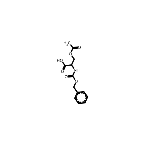 CC(=O)OCC(NC(=O)OCc1ccccc1)C(=O)O